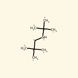 CC(C)(C)C[SiH]C(C)(C)C